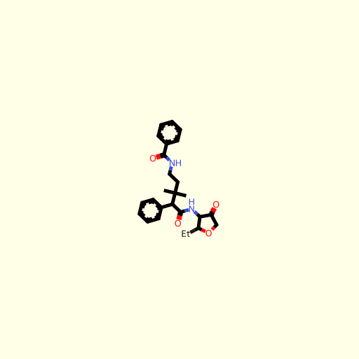 CCC1OCC(=O)C1NC(=O)C(c1ccccc1)C(C)(C)CCNC(=O)c1ccccc1